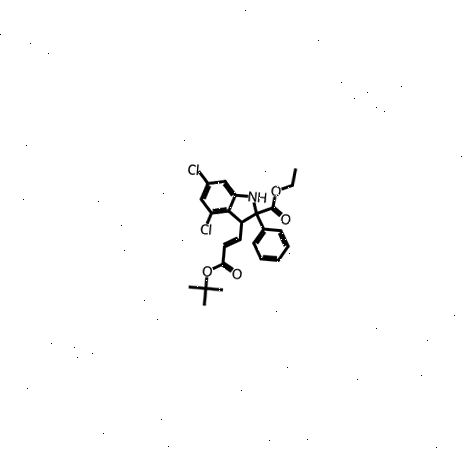 CCOC(=O)C1(c2ccccc2)Nc2cc(Cl)cc(Cl)c2C1/C=C/C(=O)OC(C)(C)C